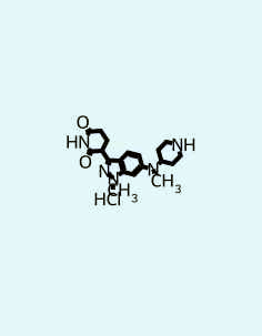 CN(c1ccc2c(C3CCC(=O)NC3=O)nn(C)c2c1)C1CCNCC1.Cl